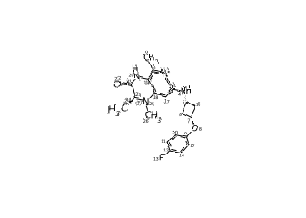 Cc1nc(N[C@H]2C[C@H](Oc3ccc(F)cc3)C2)cc2c1NC(=O)[C@H](C)N2C